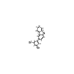 Brc1cc(Br)cc(-n2ccc3nc4ccccc4c-3c2)c1